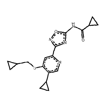 O=C(Nc1nc(-c2cc(OCC3CC3)c(C3CC3)cn2)no1)C1CC1